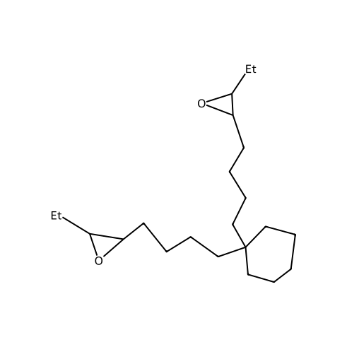 CCC1OC1CCCCC1(CCCCC2OC2CC)CCCCC1